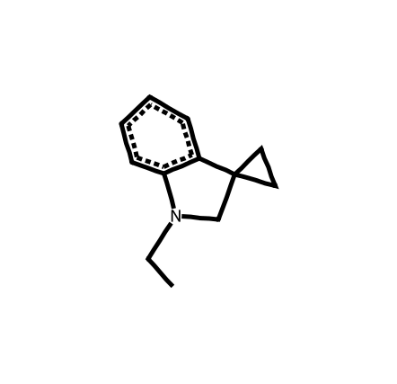 CCN1CC2(CC2)c2ccccc21